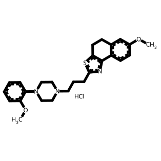 COc1ccc2c(c1)CCc1sc(CCCN3CCN(c4ccccc4OC)CC3)nc1-2.Cl